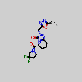 O=C([C@@H]1CCCc2nn(Cc3nnc(C(F)(F)F)o3)c(=O)n21)N1CCC(F)(F)C1